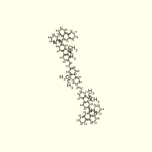 CC1(C)c2cc(/C=C/c3ccc4c(c3)C(C)(C)c3cc(N(C5=NC=CCC5)c5cc6ccccc6c6ccccc56)ccc3-4)ccc2-c2ccc(/C=C/c3ccc4c(c3)C(C)(C)c3cc(N(c5ccccn5)c5cc6ccccc6c6ccccc56)ccc3-4)cc21